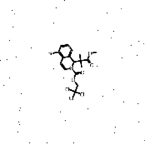 COC(=O)C(C)(C)C1c2cccc(Br)c2C=CN1C(=O)OCC(Cl)(Cl)Cl